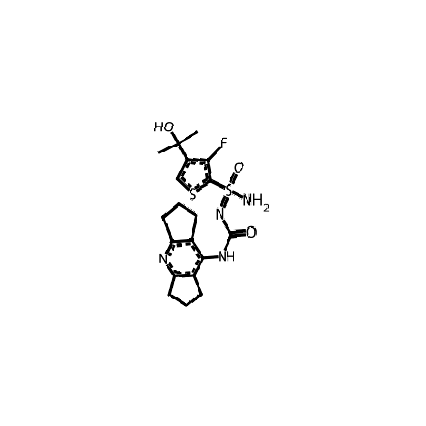 CC(C)(O)c1csc(S(N)(=O)=NC(=O)Nc2c3c(nc4c2CCC4)CCC3)c1F